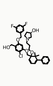 CC1(C)C(c2ccccc2)=CC=CC1(COc1cc(OCc2cc(F)cc(F)c2)c(CO)cc1Cl)OCCCN1CC[C@@H](O)C1